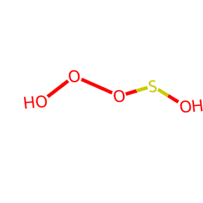 OOOSO